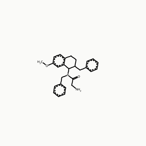 COc1ccc2c(c1)C(N(Cc1ccccc1)C(=O)CN)C(Cc1ccccc1)CC2